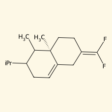 CC(C)C1CC=C2CC(=C(F)F)CC[C@]2(C)C1C